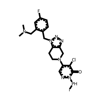 CN(C)Cc1cc(F)ccc1Cn1nnc2c1CCN(c1cnn(PI)c(=O)c1Cl)C2